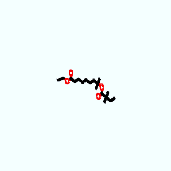 CCOC(=O)CCCCCCC(C)(C)OC(=O)C(C)(C)CC